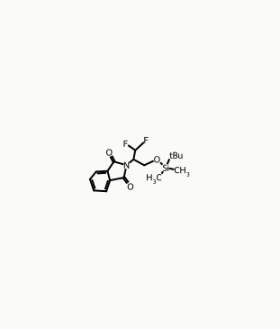 CC(C)(C)[Si](C)(C)OCC(C(F)F)N1C(=O)c2ccccc2C1=O